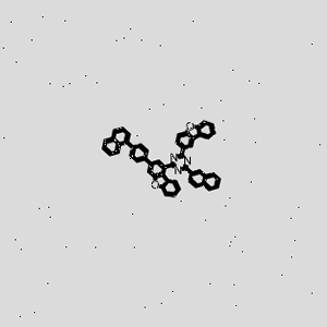 C1=CC2Oc3cc(-c4ccc(-c5cccc6ccccc56)cc4)cc(-c4nc(-c5ccc6ccccc6c5)nc(-c5ccc6oc7ccccc7c6c5)n4)c3C2C=C1